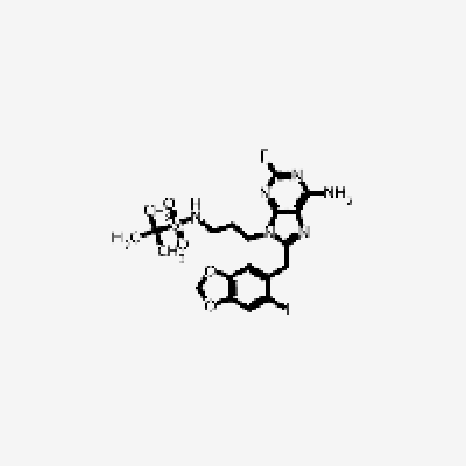 CC(C)(C)S(=O)(=O)NCCCn1c(Cc2cc3c(cc2I)OCO3)nc2c(N)nc(F)nc21